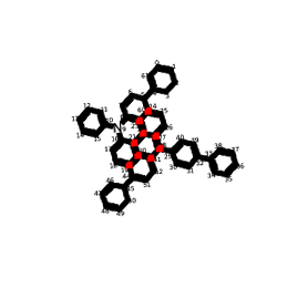 C1=CCCC(C2C=CC(N(c3ccccc3)c3ccccc3-c3ccccc3N(c3ccc(-c4ccccc4)cc3)c3ccc(C4C=CC=CC4)cc3)=C(c3ccccc3)C2)=C1